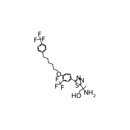 CC(N)(CO)c1nnc(-c2ccc(OCCCCCCc3ccc(C(F)(F)F)cc3)c(C(F)(F)F)c2)s1